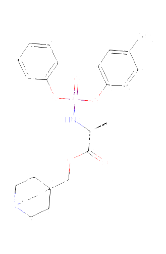 C[C@H](NP(=O)(Oc1ccccc1)Oc1ccc([N+](=O)[O-])cc1)C(=O)OCC12CCN(CC1)CC2